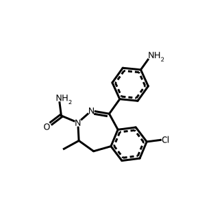 CC1Cc2ccc(Cl)cc2C(c2ccc(N)cc2)=NN1C(N)=O